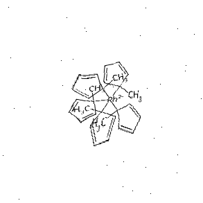 C[C]1([Rh-2]([C]2(C)C=CC=C2)([C]2(C)C=CC=C2)([C]2(C)C=CC=C2)[C]2(C)C=CC=C2)C=CC=C1